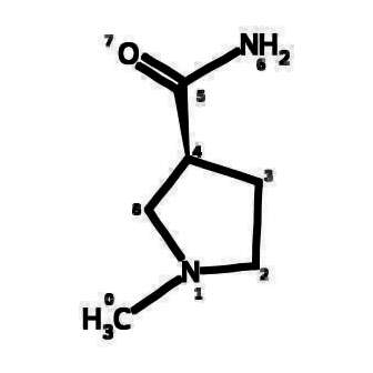 CN1CC[C@H](C(N)=O)C1